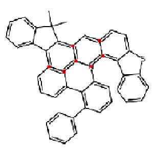 CC1(C)c2ccccc2-c2ccc(N(c3cccc(-c4ccccc4)c3-c3ccccc3-c3ccccc3)c3cccc4sc5ccccc5c34)cc21